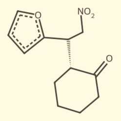 O=C1CCCC[C@@H]1C(C[N+](=O)[O-])c1ccco1